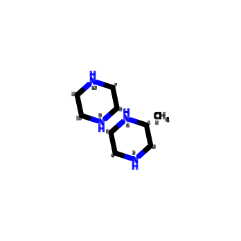 C.C1CNCCN1.C1CNCCN1